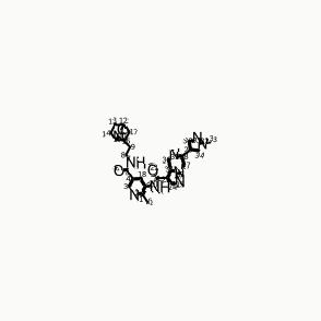 Cc1ncc(C(=O)NCCN2CC3CCC2CC3)cc1NC(=O)c1cnn2cc(-c3cnn(C)c3)ncc12